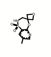 Cc1cnc2c(c1)S(=O)(=O)NCC1(COC1)O2